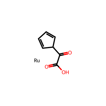 O=C(O)C(=O)[C]1C=CC=C1.[Ru]